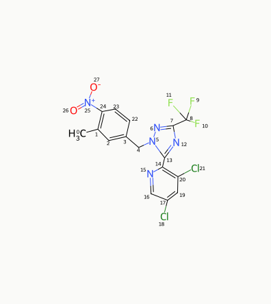 Cc1cc(Cn2nc(C(F)(F)F)nc2-c2ncc(Cl)cc2Cl)ccc1[N+](=O)[O-]